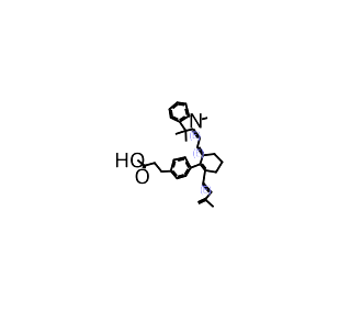 C=C(C)/C=C/C1=C(c2ccc(CCC(=O)O)cc2)C(=C/C=C2/N(C)c3ccccc3C2(C)C)/CCC1